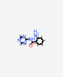 Nc1ccccc1C(=O)Nc1ncncn1